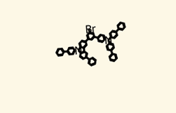 Brc1cc(-c2ccc(N(c3ccc(-c4ccccc4)cc3)c3ccc(-c4ccccc4)cc3)cc2)cc(-c2ccc3c(c2)c2cc(-c4ccccc4)ccc2n3-c2ccc(-c3ccccc3)cc2)c1